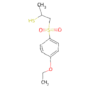 CCOc1ccc(S(=O)(=O)CC(C)S)cc1